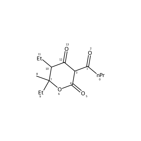 CCCC(=O)C1C(=O)OC(C)(CC)C(CC)C1=O